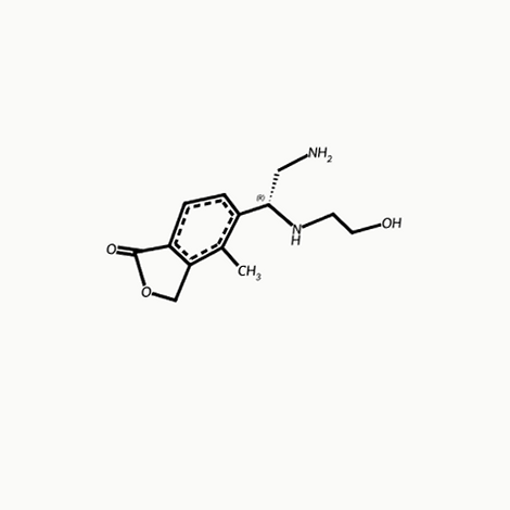 Cc1c([C@H](CN)NCCO)ccc2c1COC2=O